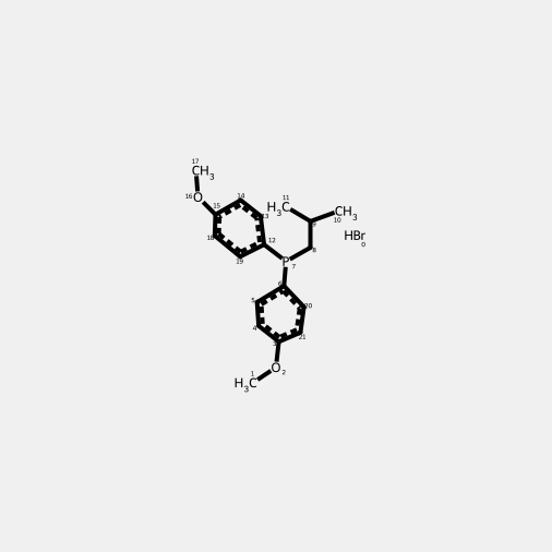 Br.COc1ccc(P(CC(C)C)c2ccc(OC)cc2)cc1